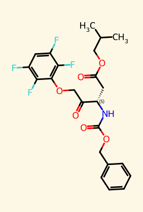 CC(C)COC(=O)C[C@H](NC(=O)OCc1ccccc1)C(=O)COc1c(F)c(F)cc(F)c1F